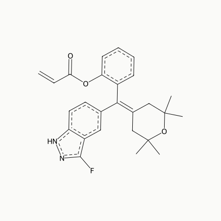 C=CC(=O)Oc1ccccc1C(=C1CC(C)(C)OC(C)(C)C1)c1ccc2[nH]nc(F)c2c1